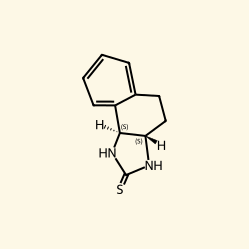 S=C1N[C@H]2CCc3ccccc3[C@@H]2N1